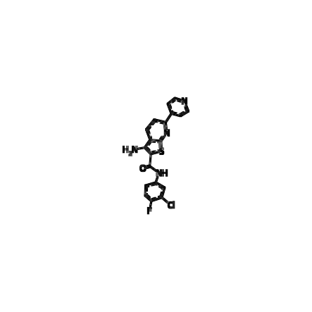 Nc1c(C(=O)Nc2ccc(F)c(Cl)c2)sc2nc(-c3ccncc3)ccc12